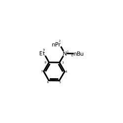 CCCCN(CCC)c1ccccc1CC